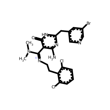 CN(C)/C(=N/CCc1c(Cl)cccc1Cl)c1c(N)nc(Cc2cncc(Br)c2)[nH]c1=O